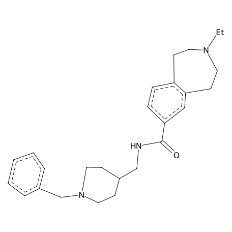 CCN1CCc2ccc(C(=O)NCC3CCN(Cc4ccccc4)CC3)cc2CC1